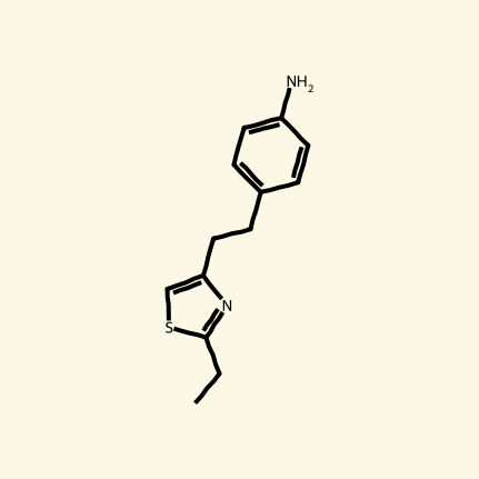 CCc1nc(CCc2ccc(N)cc2)cs1